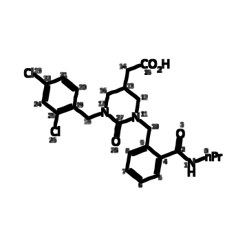 CCCNC(=O)c1ccccc1CN1CC(CC(=O)O)CN(Cc2ccc(Cl)cc2Cl)C1=O